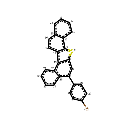 Brc1ccc(-c2cc3sc4c5ccccc5ccc4c3c3ccccc23)cc1